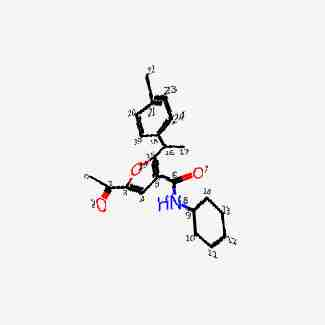 CC(=O)c1cc(C(=O)NC2CCCCC2)c(C(C)c2ccc(C)cc2)o1